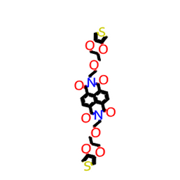 O=C1c2ccc3c4c(ccc(c24)C(=O)N1CCOCC1COc2cscc2O1)C(=O)N(CCOCC1COc2cscc2O1)C3=O